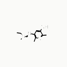 CCN(C)/C=N/c1cc(N)c(C)nc1C